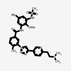 COc1c(NC(=O)c2ccc(C)c(-n3cc(-c4ccc(CCN(C)C)nc4)nn3)c2)cc(C(C)(C)C)cc1NS(C)(=O)=O